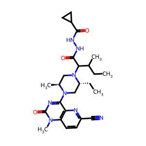 CCC(C)C(C(=O)NNC(=O)C1CC1)N1C[C@H](C)N(c2nc(=O)n(C)c3ccc(C#N)nc23)C[C@H]1CC